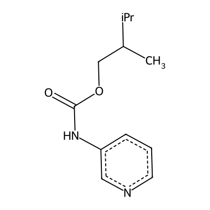 CC(C)C(C)COC(=O)Nc1cccnc1